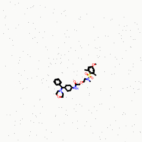 COc1cc(C)c(S(=O)(=O)N(C)CCOCC(=O)NC2CCC(C(c3ccccc3)N3CCOCC3)CC2)c(C)c1